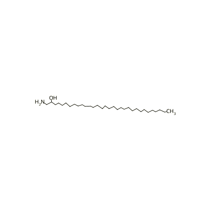 CCCCCCCCCCCCCCCCCCCCCCCCCCCCCCC(O)CN